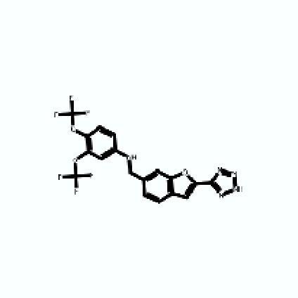 FC(F)(F)Oc1ccc(NCc2ccc3cc(-c4nn[nH]n4)oc3c2)cc1OC(F)(F)F